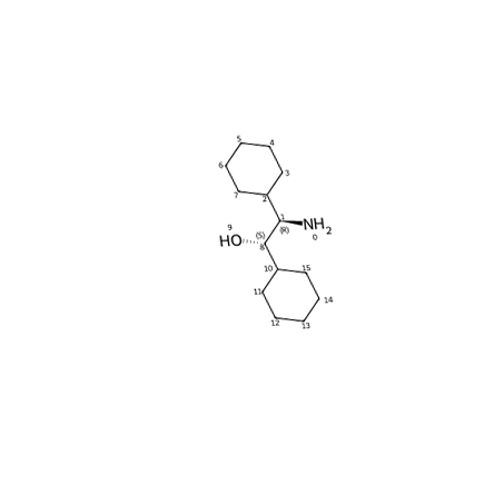 N[C@H](C1CCCCC1)[C@@H](O)C1CCCCC1